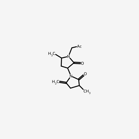 C=C1CC(C)C(=O)N1C1CC(C)N(CC(C)=O)C1=O